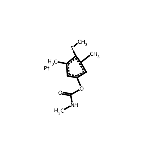 CNC(=O)Oc1cc(C)c(SC)c(C)c1.[Pt]